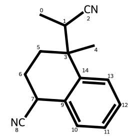 CC(C#N)C1(C)CCC(C#N)c2ccccc21